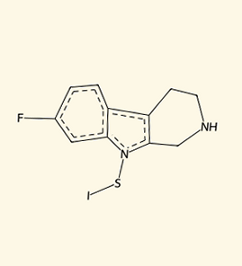 Fc1ccc2c3c(n(SI)c2c1)CNCC3